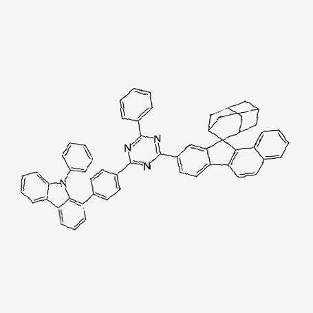 c1ccc(-c2nc(-c3ccc(-c4cccc5c6ccccc6n(-c6ccccc6)c45)cc3)nc(-c3ccc4c(c3)C3(c5c-4ccc4ccccc54)C4CC5CC(C4)CC3C5)n2)cc1